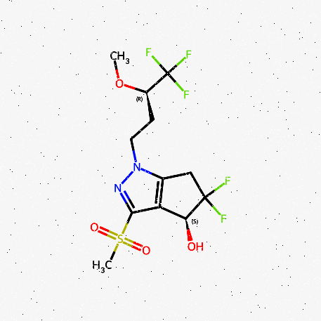 CO[C@H](CCn1nc(S(C)(=O)=O)c2c1CC(F)(F)[C@H]2O)C(F)(F)F